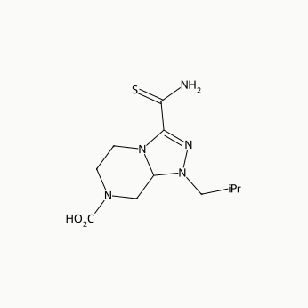 CC(C)CN1N=C(C(N)=S)N2CCN(C(=O)O)CC12